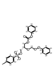 Cc1ccc(S(=O)(=O)OC[C@H](COC(=O)Oc2ccccc2)OCOOc2ccccc2)cc1